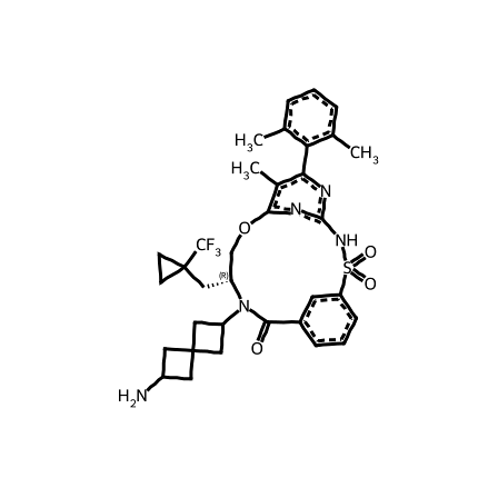 Cc1cccc(C)c1-c1nc2nc(c1C)OC[C@@H](CC1(C(F)(F)F)CC1)N(C1CC3(CC(N)C3)C1)C(=O)c1cccc(c1)S(=O)(=O)N2